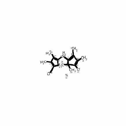 CC1=C(Cl)CC([SiH2]C2=C(C)C(C)=C(Cl)C2(C)C)=C1C.[Ti]